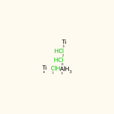 Cl.Cl.Cl.[AlH3].[Ti].[Ti]